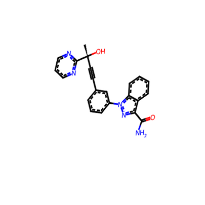 C[C@@](O)(C#Cc1cccc(-n2nc(C(N)=O)c3ccccc32)c1)c1ncccn1